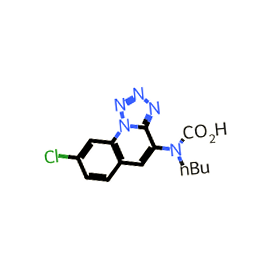 CCCCN(C(=O)O)c1cc2ccc(Cl)cc2n2nnnc12